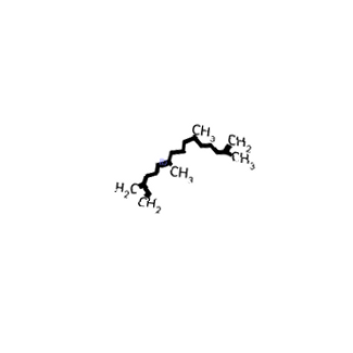 C=CC(=C)CC/C=C(\C)CCCC(C)CCCC(=C)C